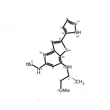 COC[C@@H](C)Nc1cc(NC(C)(C)C)nc2cc(-c3ccn[nH]3)sc12